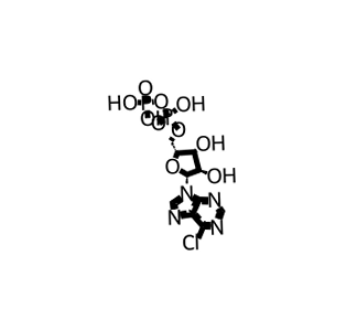 O=P(O)(O)OP(=O)(O)OC[C@H]1O[C@@H](n2cnc3c(Cl)ncnc32)[C@H](O)[C@@H]1O